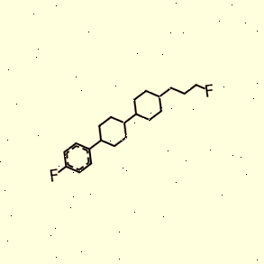 FCCCC1CCC(C2CCC(c3ccc(F)cc3)CC2)CC1